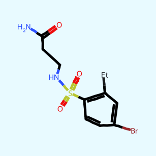 CCc1cc(Br)ccc1S(=O)(=O)NCCC(N)=O